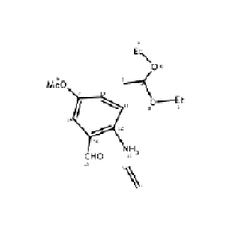 C=C.CCOC(C)OCC.COc1ccc(N)c(C=O)c1